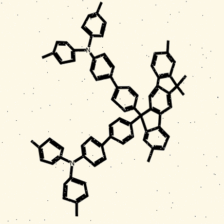 Cc1ccc(N(c2ccc(C)cc2)c2ccc(-c3ccc(C4(c5ccc(-c6ccc(N(c7ccc(C)cc7)c7ccc(C)cc7)cc6)cc5)c5cc(C)ccc5-c5cc6c(cc54)-c4ccc(C)cc4C6(C)C)cc3)cc2)cc1